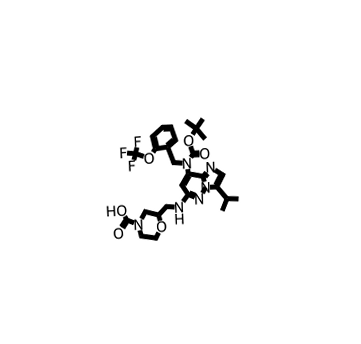 CC(C)c1cnc2c(N(Cc3ccccc3OC(F)(F)F)C(=O)OC(C)(C)C)cc(NCC3CN(C(=O)O)CCO3)nn12